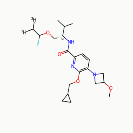 [2H]C([2H])C(F)OC[C@@H](NC(=O)c1ccc(N2CC(OC)C2)c(OCC2CC2)n1)C(C)C